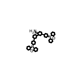 Nn1c2ccc(-c3ccc(N4c5ccccc5Oc5ccccc54)cc3)cc2c2cc(-c3ccc(N4c5ccccc5Oc5ccccc54)cc3)ccc21